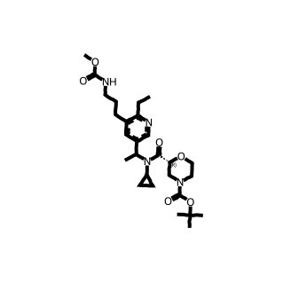 CCc1ncc(C(C)N(C(=O)[C@H]2CN(C(=O)OC(C)(C)C)CCO2)C2CC2)cc1CCCNC(=O)OC